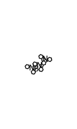 c1ccc(N2c3ccccc3B3c4c2cccc4-n2c4c3cccc4c3cc4c5ccccc5n5c6ccccc6c(c32)c45)cc1